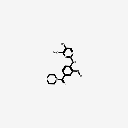 CCOc1cc(C(=O)N2CCOCC2)ccc1Nc1ncc(Br)c(OC)n1